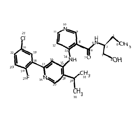 CC[C@@H](CO)NC(=O)c1cnccc1Nc1cc(-c2cc(Cl)ccc2F)ncc1C(C)C